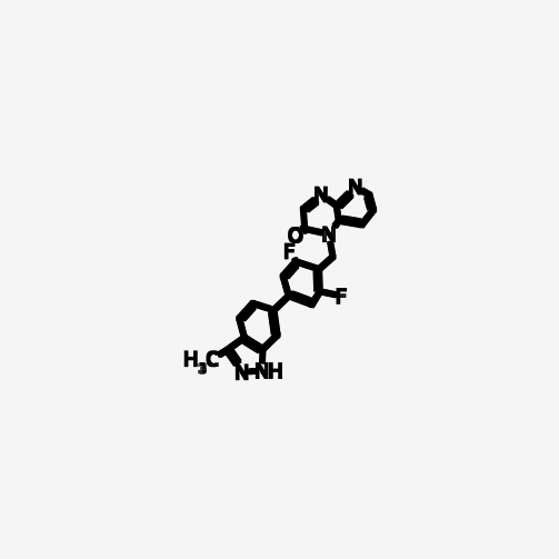 Cc1n[nH]c2cc(-c3cc(F)c(Cn4c(=O)cnc5ncccc54)c(F)c3)ccc12